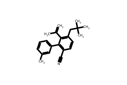 C=C(C)c1c(CC(C)(C)C)ccc(C#N)c1-c1cccc(C)c1